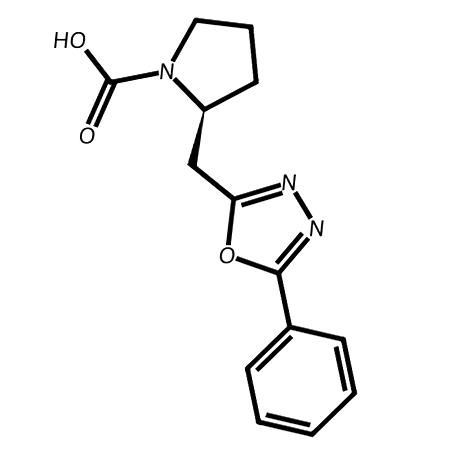 O=C(O)N1CCC[C@H]1Cc1nnc(-c2ccccc2)o1